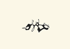 CSc1sc(C(=O)Nc2ccn(C)c2)c2c1-c1sncc1CC2